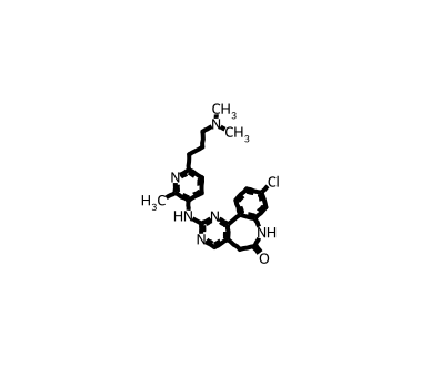 Cc1nc(CCCN(C)C)ccc1Nc1ncc2c(n1)-c1ccc(Cl)cc1NC(=O)C2